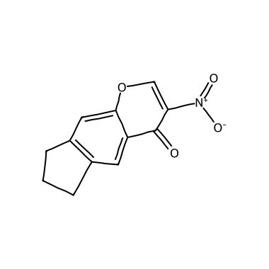 O=c1c([N+](=O)[O-])coc2cc3c(cc12)CCC3